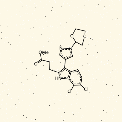 COC(=O)CCc1[nH]c2c(Cl)c(Cl)ccc2c1-c1cnn(C2CCCCO2)c1